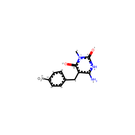 Cn1c(=O)[nH]c(N)c(Cc2ccc([N+](=O)[O-])cc2)c1=O